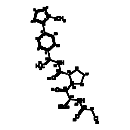 Cc1ncsc1-c1ccc([C@H](C)NC(=O)[C@@H]2CCCN2C(=O)[C@@H](NC(=O)CCl)C(C)(C)C)cc1